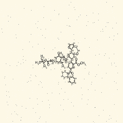 COC(=O)c1nc(C(=O)N2CCCC[C@H]2c2ccccc2)ccc1-c1cc2c(cc1C(=O)Nc1c(C)cc(CNC(=O)OC(C)(C)C)cc1C)-c1sccc1CCO2